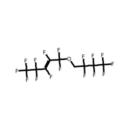 FC(=C(F)C(F)(F)C(F)(F)F)C(F)(F)OCC(F)(F)C(F)(F)C(F)(F)F